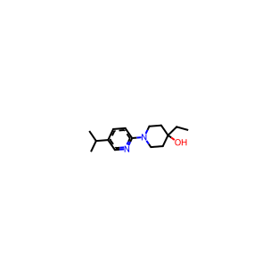 CCC1(O)CCN(c2ccc(C(C)C)cn2)CC1